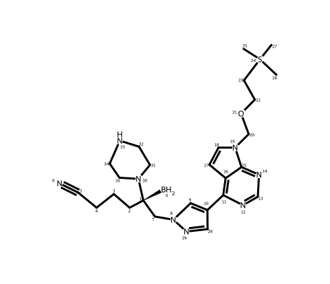 B[C@](CCCC#N)(Cn1cc(-c2ncnc3c2ccn3COCCS(C)(C)C)cn1)N1CCNCC1